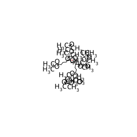 CCC(O[C@@H](C)C(=O)C(C)(C)OC1CC(OC(C)(C)C(=O)[C@H](C)OC(C)(C)C(C)=O)C(C/C=C\CCCC(=O)OC(C)C)C1CCC(CCc1ccccc1)OC(C)(C)C(=O)[C@H](C)OC(C)(C)C(C)=O)C(C)=O